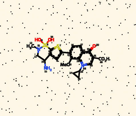 COc1c(-c2cc3c(s2)S(O)(O)N(C)CC3N)ccc2c(=O)c(C(=O)O)cn(C3CC3)c12